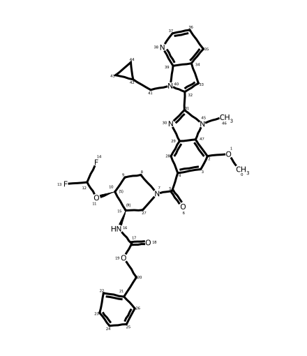 COc1cc(C(=O)N2CC[C@H](OC(F)F)[C@H](NC(=O)OCc3ccccc3)C2)cc2nc(-c3cc4cccnc4n3CC3CC3)n(C)c12